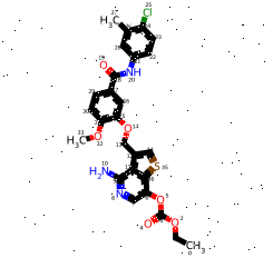 CCOC(=O)Oc1cnc(N)c2c(COc3cc(C(=O)Nc4ccc(Cl)c(C)c4)ccc3OC)csc12